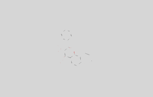 COc1c(-c2ccccc2)oc2c3c(ccc2c1=O)OC(C)(C)C=C3